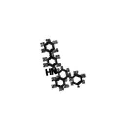 C1=CCC(C2=CCC(Nc3ccc(-c4ccccc4)cc3)c3ccccc32)C=C1